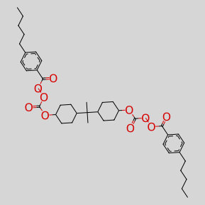 CCCCCc1ccc(C(=O)OOC(=O)OC2CCC(C(C)(C)C3CCC(OC(=O)OOC(=O)c4ccc(CCCCC)cc4)CC3)CC2)cc1